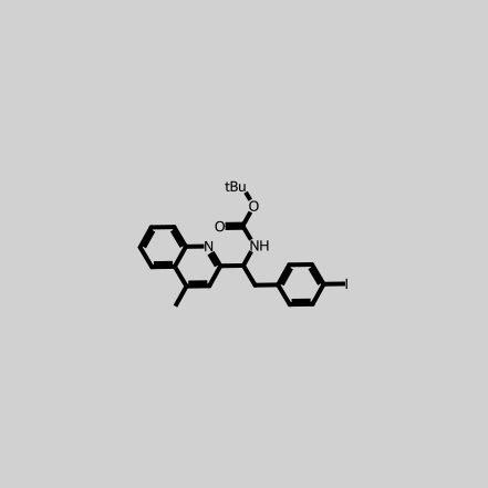 Cc1cc(C(Cc2ccc(I)cc2)NC(=O)OC(C)(C)C)nc2ccccc12